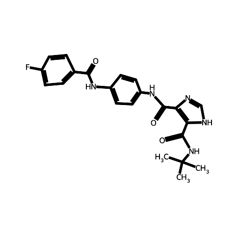 CC(C)(C)NC(=O)c1[nH]cnc1C(=O)Nc1ccc(NC(=O)c2ccc(F)cc2)cc1